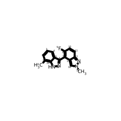 Cc1cccc2c(-c3c(F)ccc4nn(C)cc34)n[nH]c12